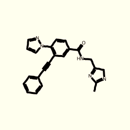 CC1=NCC(CNC(=O)c2ccc(-n3cccn3)c(C#Cc3ccccc3)c2)=N1